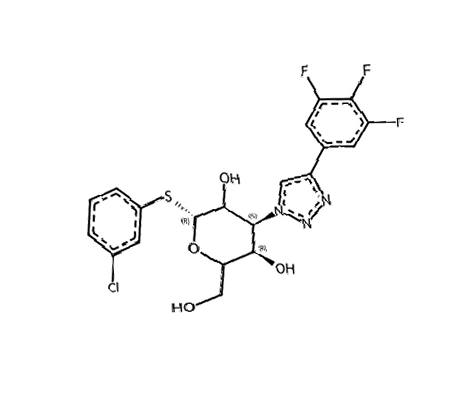 OCC1O[C@H](Sc2cccc(Cl)c2)C(O)[C@@H](n2cc(-c3cc(F)c(F)c(F)c3)nn2)[C@H]1O